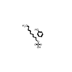 CCCCCCCCCOS(=O)(=O)O.Oc1ccccc1